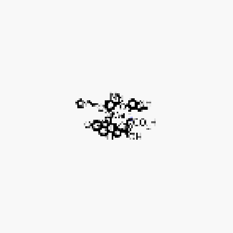 COc1cc2c(Oc3ccc4[nH]c(C)cc4c3F)ncnc2cc1OCCCN1CCCC1.C[C@]12C=CC(=O)C=C1CC[C@@H]1[C@@H]2C(=O)C[C@@]2(C)[C@H]1CC[C@]2(OC(=O)/C=C\C(=O)O)C(=O)CO